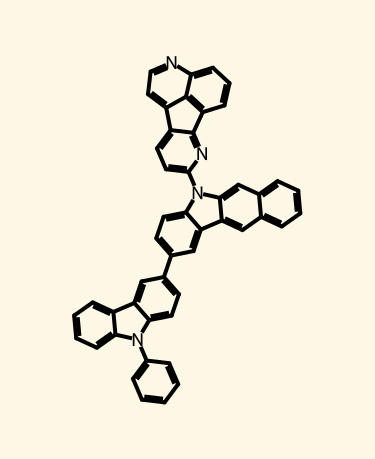 c1ccc(-n2c3ccccc3c3cc(-c4ccc5c(c4)c4cc6ccccc6cc4n5-c4ccc5c(n4)-c4cccc6nccc-5c46)ccc32)cc1